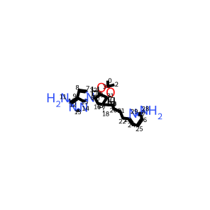 CC1(C)O[C@H]2[C@H](n3ccc4c(N)ncnc43)C[C@](C)(CCCCc3cccc(N)n3)[C@H]2O1